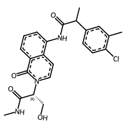 CNC(=O)[C@@H](CO)n1ccc2c(NC(=O)C(C)c3ccc(Cl)c(C)c3)cccc2c1=O